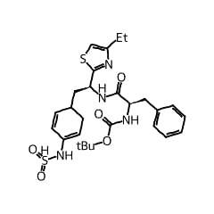 CCc1csc([C@H](CC2C=CC(N[SH](=O)=O)=CC2)NC(=O)[C@@H](Cc2ccccc2)NC(=O)OC(C)(C)C)n1